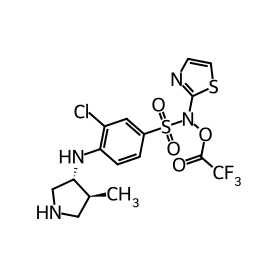 C[C@H]1CNC[C@@H]1Nc1ccc(S(=O)(=O)N(OC(=O)C(F)(F)F)c2nccs2)cc1Cl